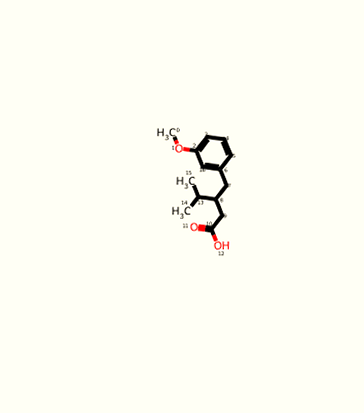 COc1cccc(CC(CC(=O)O)C(C)C)c1